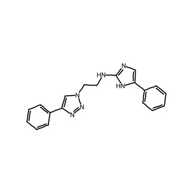 c1ccc(-c2cn(CCNc3ncc(-c4ccccc4)[nH]3)nn2)cc1